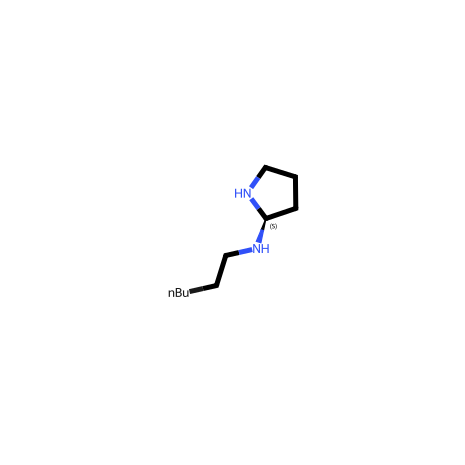 CCCCCCN[C@@H]1CCCN1